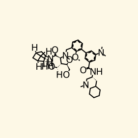 COc1c(CN2O[C@@H](CO)[C@H]([C@H](C)O)[C@H]2C(=O)N[C@H]2C[C@H]3C[C@@H]([C@@H]2C)C3(C)C)cccc1-c1cc(C(=O)N[C@H](CC2CCCCC2)CN(C)C)cc(N(C)C)c1